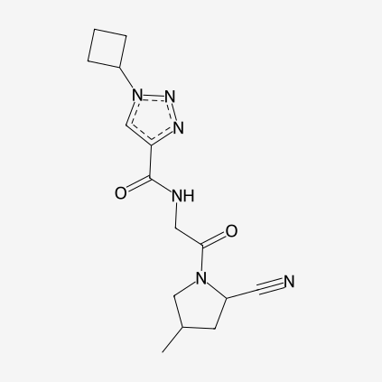 CC1CC(C#N)N(C(=O)CNC(=O)c2cn(C3CCC3)nn2)C1